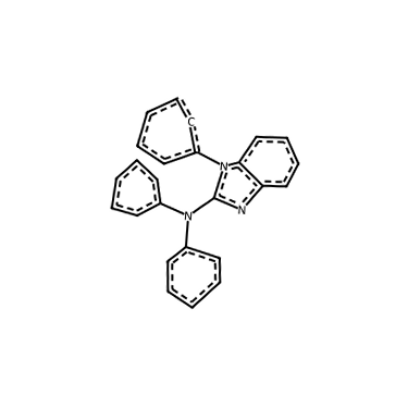 c1ccc(N(c2ccccc2)c2nc3ccccc3n2-c2ccccc2)cc1